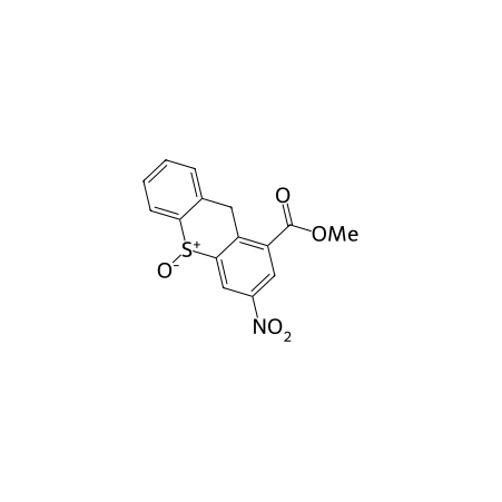 COC(=O)c1cc([N+](=O)[O-])cc2c1Cc1ccccc1[S+]2[O-]